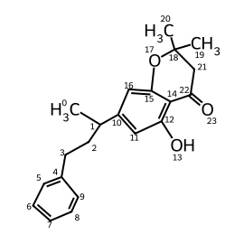 CC(CCc1ccccc1)c1cc(O)c2c(c1)OC(C)(C)CC2=O